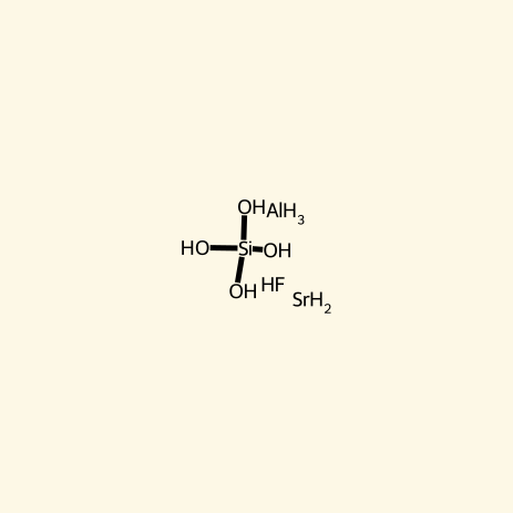 F.O[Si](O)(O)O.[AlH3].[SrH2]